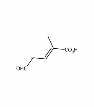 CC(=C[CH]C=O)C(=O)O